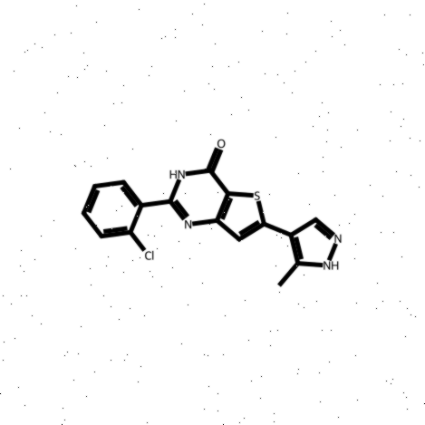 Cc1[nH]ncc1-c1cc2nc(-c3ccccc3Cl)[nH]c(=O)c2s1